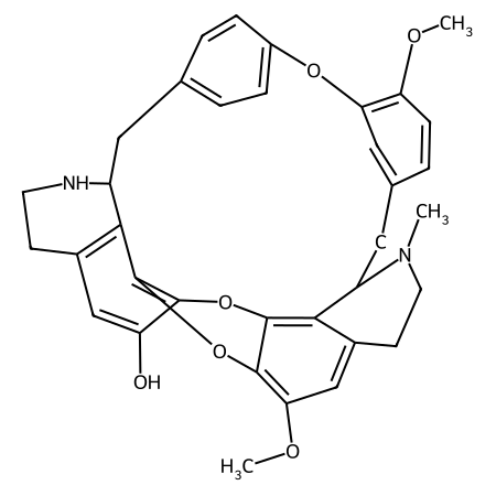 COc1ccc2cc1Oc1ccc(cc1)CC1NCCc3cc(O)c4c(c31)Oc1c(OC)cc3c(c1O4)C(C2)N(C)CC3